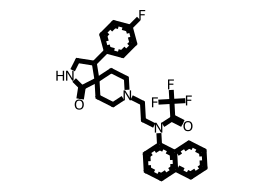 O=C(N(CCN1CCC2(CC1)C(=O)NCC2c1ccc(F)cc1)c1cccc2ccccc12)C(F)(F)F